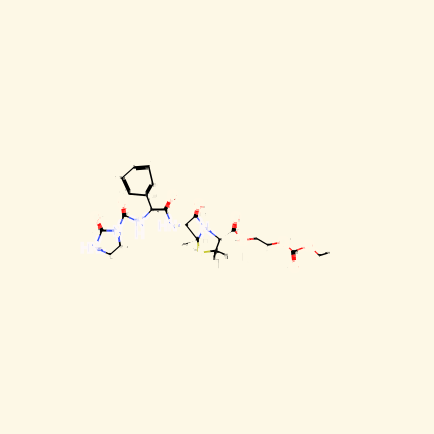 CCOC(=O)OCCOC(=O)[C@@H]1N2C(=O)[C@@H](NC(=O)C(NC(=O)N3CCNC3=O)c3ccccc3)[C@H]2SC1(C)C